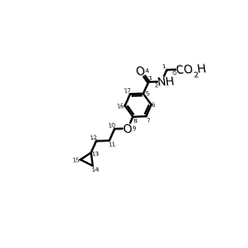 O=C(O)CNC(=O)c1ccc(OCCCC2CC2)cc1